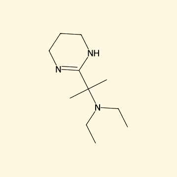 CCN(CC)C(C)(C)C1=NCCCN1